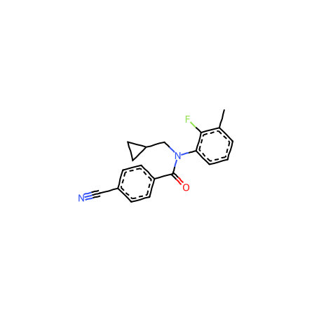 Cc1cccc(N(CC2CC2)C(=O)c2ccc(C#N)cc2)c1F